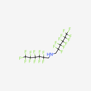 FC(F)(F)C(F)(F)C(F)(F)C(F)(F)C(F)(F)CNCC(F)(F)C(F)(F)C(F)(F)C(F)(F)C(F)(F)F